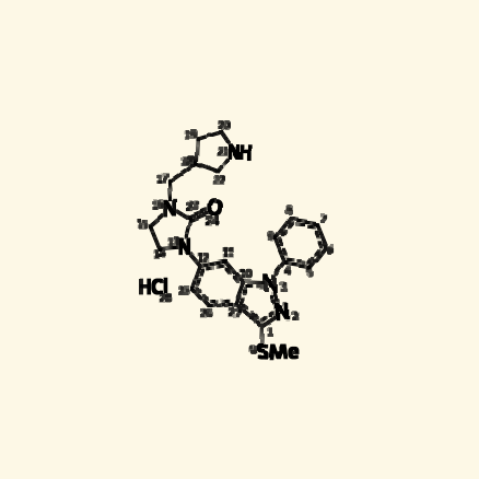 CSc1nn(-c2ccccc2)c2cc(N3CCN(CC4CCNC4)C3=O)ccc12.Cl